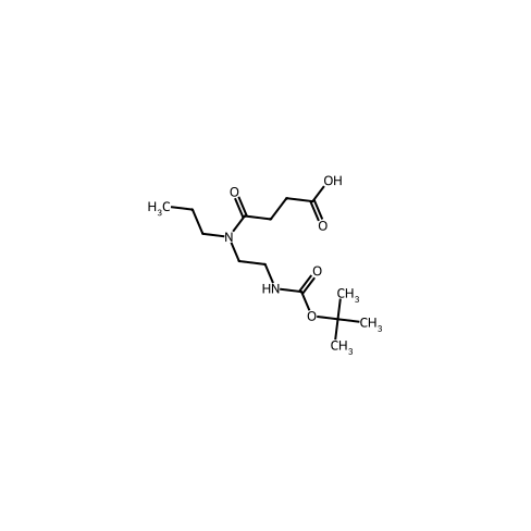 CCCN(CCNC(=O)OC(C)(C)C)C(=O)CCC(=O)O